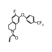 C=CC(=O)N1CCc2cc(F)c(Oc3ccc(C(F)(F)F)cc3)cc2C1